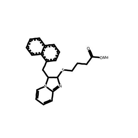 COC(=O)CCCSC1N=C2C=CC=CN2C1Cc1cccc2ccccc12